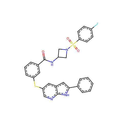 O=C(NC1CN(S(=O)(=O)c2ccc(F)cc2)C1)c1cccc(Sc2cnc3[nH]c(-c4ccccc4)cc3c2)c1